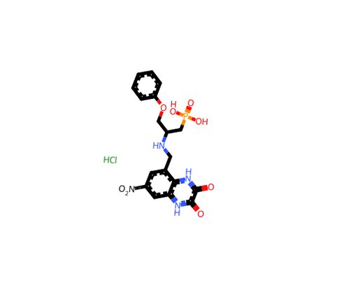 Cl.O=c1[nH]c2cc([N+](=O)[O-])cc(CNC(COc3ccccc3)CP(=O)(O)O)c2[nH]c1=O